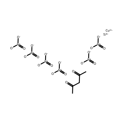 CC(=O)CC(C)=O.O=[N+]([O-])[O-].O=[N+]([O-])[O-].O=[N+]([O-])[O-].O=[N+]([O-])[O-].O=[N+]([O-])[O-].O=[N+]([O-])[O-].[Cu+2].[Ti+4]